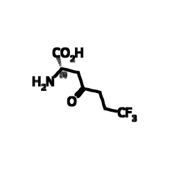 N[C@@H](CC(=O)CCC(F)(F)F)C(=O)O